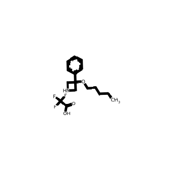 CCCCCOC1(c2ccccc2)CNC1.O=C(O)C(F)(F)F